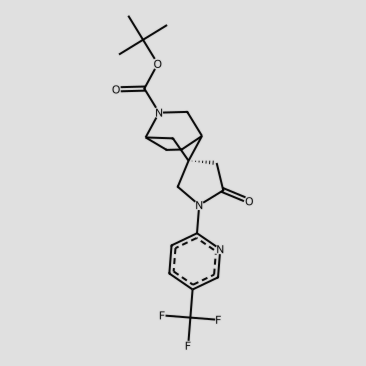 CC(C)(C)OC(=O)N1CC2CCC1C[C@@]21CC(=O)N(c2ccc(C(F)(F)F)cn2)C1